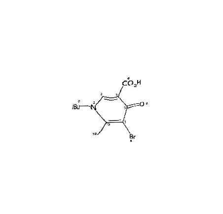 CCC(C)n1cc(C(=O)O)c(=O)c(Br)c1C